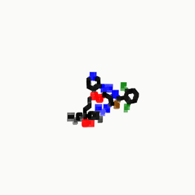 CC(C)(O)CCCOc1ccncc1NC(=O)c1nc(-c2c(F)cccc2F)sc1N